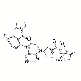 C=C1CC2C[C@H]1[C@@H](C(=O)N1CCC(N3CCN(c4ccc(F)cc4C(=O)N(CC)C(C)C)c4cncnc43)C1)N2